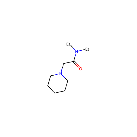 CCN(CC)C(=O)CN1CC[CH]CC1